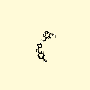 COC(CO[C@H]1C[C@H](Oc2ccc(Br)cn2)C1)OC